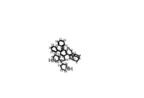 PCC1C2CC3CC(C2)CC1(c1cc(-c2ccccc2)c(-c2ccccc2)cc1CP(C1CCCNC1)C1CCCNC1)C3